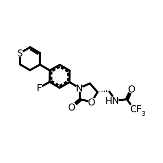 O=C1O[C@@H](CNC(=O)C(F)(F)F)CN1c1ccc(C2C=CSCC2)c(F)c1